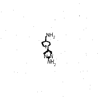 NCC1CCN(c2cnc(N)nc2)CC1